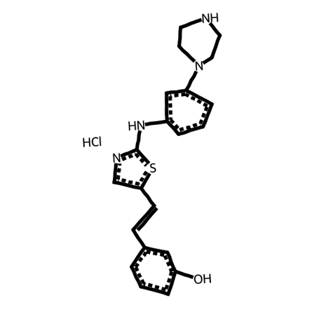 Cl.Oc1cccc(C=Cc2cnc(Nc3cccc(N4CCNCC4)c3)s2)c1